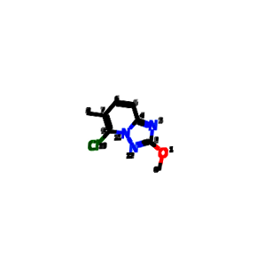 COc1nc2ccc(C)c(Cl)n2n1